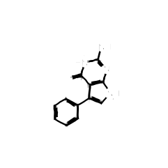 Nc1nc2[nH]cc(-c3ccccc3)c2c(=O)[nH]1